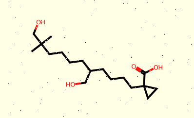 CC(C)(CO)CCCCC(CO)CCCCC1(C(=O)O)CC1